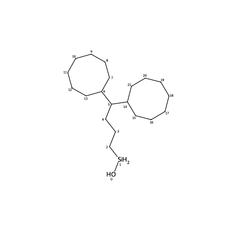 O[SiH2]CCCC(C1CCCCCCC1)C1CCCCCCC1